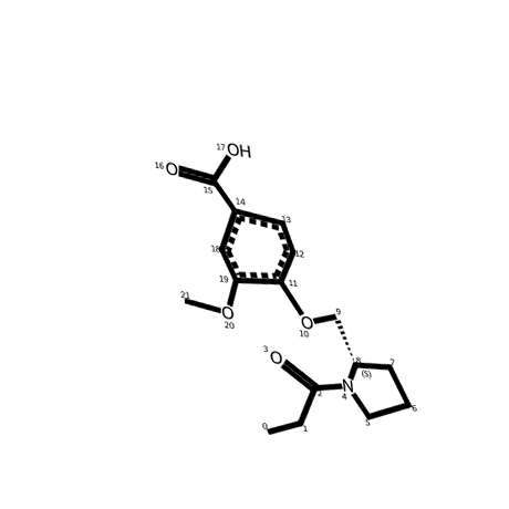 CCC(=O)N1CCC[C@H]1COc1ccc(C(=O)O)cc1OC